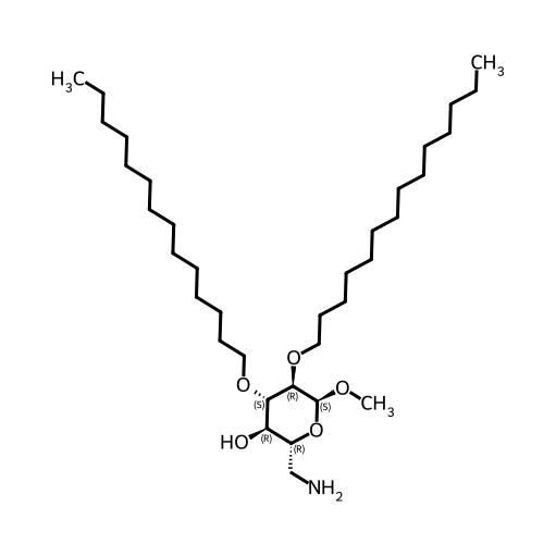 CCCCCCCCCCCCCCO[C@H]1[C@@H](OC)O[C@H](CN)[C@@H](O)[C@@H]1OCCCCCCCCCCCCCC